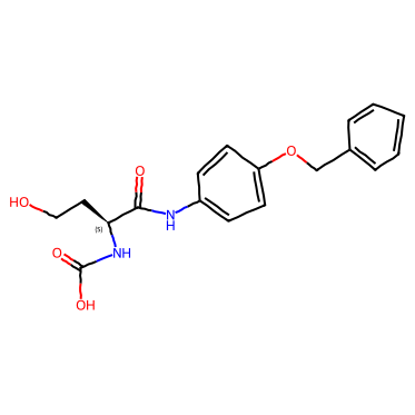 O=C(O)N[C@@H](CCO)C(=O)Nc1ccc(OCc2ccccc2)cc1